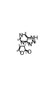 O=C1CC=CO1.c1ncc2[nH]nnc2n1